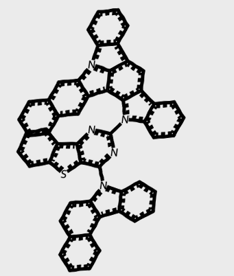 c1ccc2cc3c(cc2c1)c1c2c(cc4c5ccccc5n3c41)c1ccccc1n2-c1nc(-n2c3ccccc3c3c4ccccc4ccc32)c2sc3ccccc3c2n1